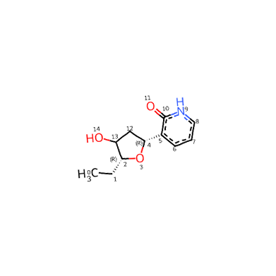 CC[C@H]1O[C@@H](c2ccc[nH]c2=O)CC1O